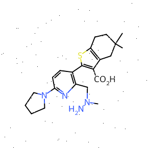 CN(N)Cc1nc(N2CCCC2)ccc1-c1sc2c(c1C(=O)O)CC(C)(C)CC2